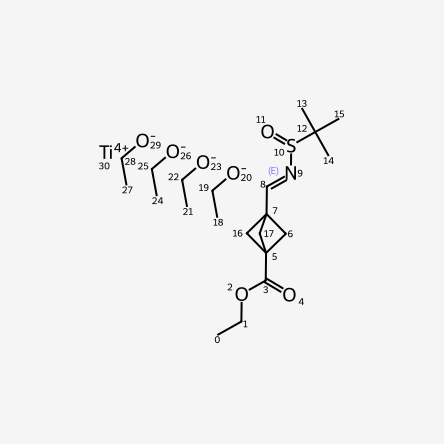 CCOC(=O)C12CC(/C=N/S(=O)C(C)(C)C)(C1)C2.CC[O-].CC[O-].CC[O-].CC[O-].[Ti+4]